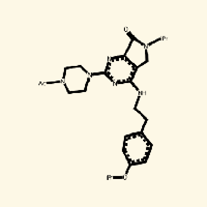 CC(=O)N1CCN(c2nc(NCCc3ccc(OC(C)C)cc3)c3c(n2)C(=O)N(C(C)C)C3)CC1